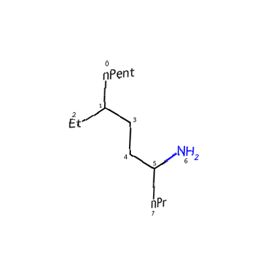 CCCCCC(CC)CCC(N)CCC